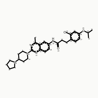 Cc1nc(N2CCC(N3CCCC3)CC2)nc2ccc(NC(=O)CCc3ccc(OC(C)C)cc3Cl)cc12